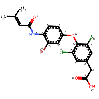 CC(C)=CC(=O)Nc1ccc(Oc2c(Cl)cc(CC(=O)O)cc2Cl)cc1Br